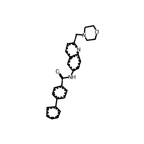 O=C(Nc1ccc2nc(CN3CCOCC3)ccc2c1)c1ccc(-c2ccccc2)cc1